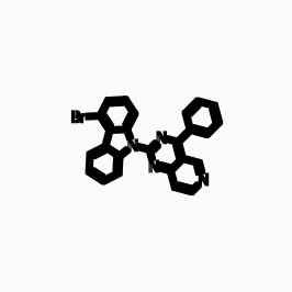 Brc1cccc2c1c1ccccc1n2-c1nc(-c2ccccc2)c2cnccc2n1